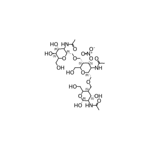 CC(=O)NC1[C@H](COC[C@H]2C(CO)O[C@@H](COC[C@@H]3C(CO)O[C@@H](O)C(NC(C)=O)[C@H]3O)C(NC(C)=O)[C@H]2O[N+](=O)[O-])OC(CO)[C@@H](O)[C@@H]1O